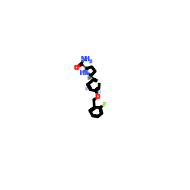 C=C(/C=C\C(=C/C)OCc1ccccc1F)[C@H]1CC[C@@H](C(N)=O)N1